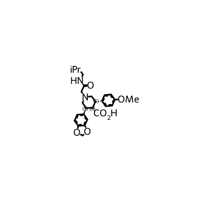 COc1ccc([C@H]2CN(CC(=O)NCC(C)C)C[C@H](c3ccc4c(c3)OCO4)[C@@H]2C(=O)O)cc1